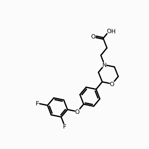 O=C(O)CCN1CCOC(c2ccc(Oc3ccc(F)cc3F)cc2)C1